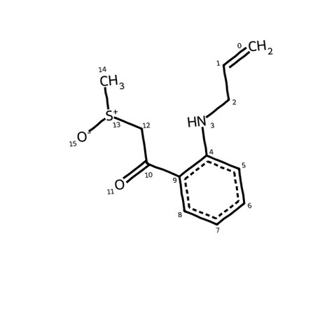 C=CCNc1ccccc1C(=O)C[S+](C)[O-]